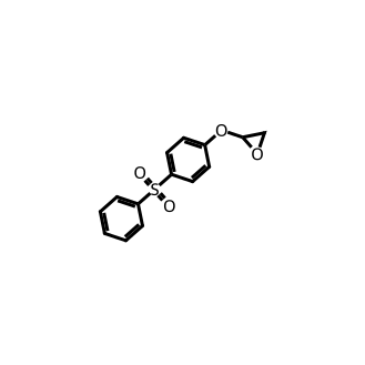 O=S(=O)(c1ccccc1)c1ccc(OC2CO2)cc1